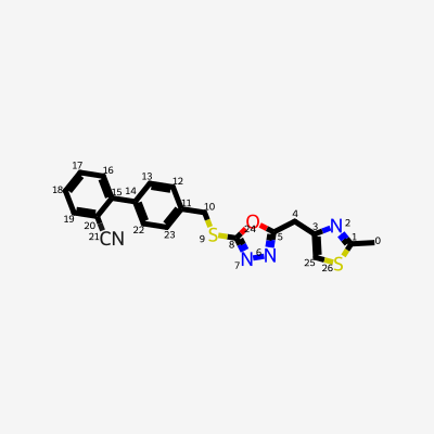 Cc1nc(Cc2nnc(SCc3ccc(-c4ccccc4C#N)cc3)o2)cs1